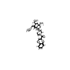 Nc1nc(N2CCN(C(=O)C3COc4ccccc4O3)CC2)nc2cc(CO)c(CO)cc12